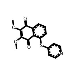 COC1=C(OC)C(=O)c2c(Sc3ccncc3)cccc2C1=O